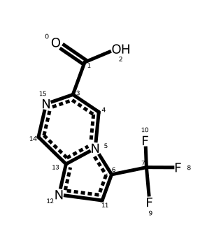 O=C(O)c1cn2c(C(F)(F)F)cnc2cn1